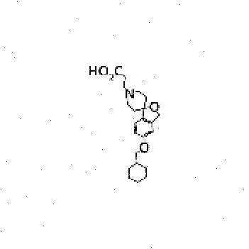 O=C(O)CCN1CCC2(CC1)OCc1cc(OCC3CCCCC3)ccc12